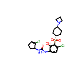 O=C(Nc1ccc(Cl)c(S(=O)(=O)[C@H]2CC[C@H](N3CCC3)CC2)c1O)NC1CCC=C1Cl